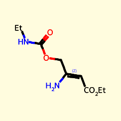 CCNC(=O)OC/C(N)=C/C(=O)OCC